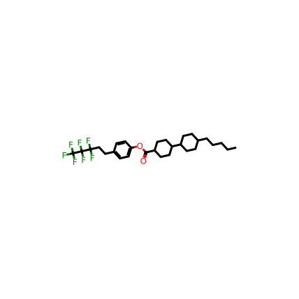 CCCCCC1CCC(C2CCC(C(=O)Oc3ccc(CCC(F)(F)C(F)(F)C(F)(F)F)cc3)CC2)CC1